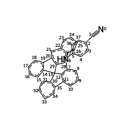 N#Cc1ccc(Nc2cccc3c2C2(c4ccccc4-c4cc5ccccc5cc42)c2ccccc2-3)cc1